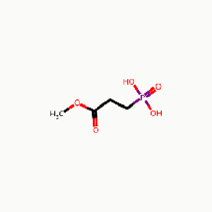 COC(=O)CCP(=O)(O)O